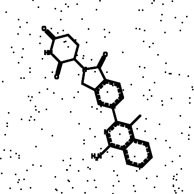 Cc1c(-c2ccc3c(c2)CN(C2CCC(=O)NC2=O)C3=O)nc(N)c2ccccc12